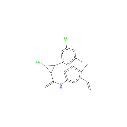 C=Cc1cc(NC(=C)C2C(Cl)C2c2cc(C)cc(Cl)c2)ccc1C